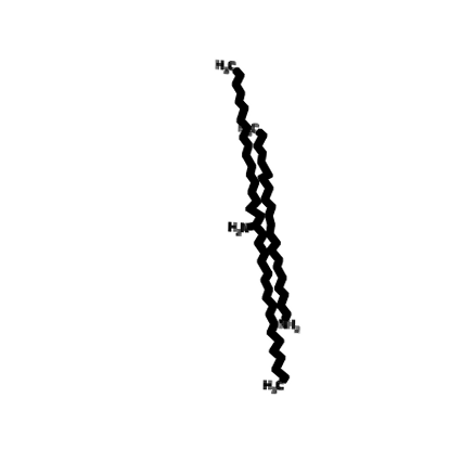 CCCCCCCCCCCCCCCCCCC(N)CCCCCCCCCCCCCCCCCC.CCCCCCCCCCCCCCCCCCCCCCN